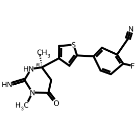 CN1C(=N)N[C@@](C)(c2csc(-c3ccc(F)c(C#N)c3)c2)CC1=O